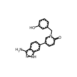 Nc1n[nH]c2cc(-c3ccc(=O)n(Cc4cccc(O)c4)c3)ccc12